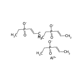 CC=CP(=O)([O-])CC.CC=CP(=O)([O-])CC.CC=CP(=O)([O-])CC.[Al+3]